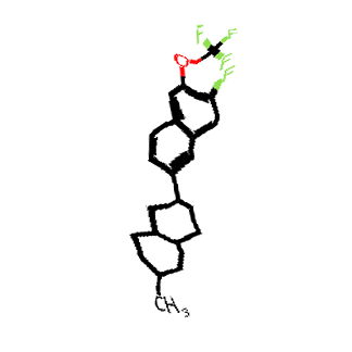 CC1CCC2CC(c3ccc4cc(OC(F)(F)F)c(F)cc4c3)CCC2C1